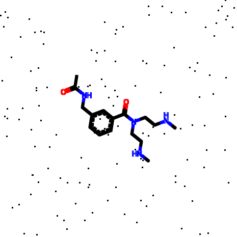 CNCCN(CCNC)C(=O)c1cccc(CNC(C)=O)c1